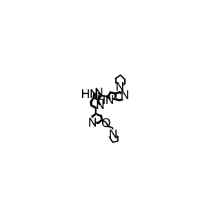 c1cc2[nH]c(-c3n[nH]c4ccc(-c5cncc(OCCN6CCCC6)c5)nc34)cc2c(N2CCCCC2)n1